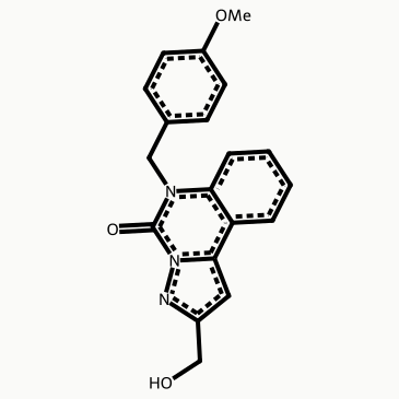 COc1ccc(Cn2c(=O)n3nc(CO)cc3c3ccccc32)cc1